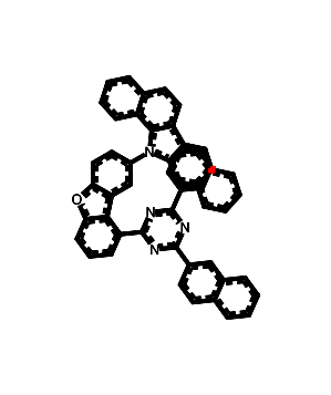 c1ccc(-c2nc(-c3ccc4ccccc4c3)nc(-c3cccc4oc5ccc(-n6c7cc8ccccc8cc7c7ccc8ccccc8c76)cc5c34)n2)cc1